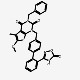 COc1sc2c(c1C)c(=O)n(Cc1ccccc1)c(=O)n2Cc1ccc(-c2ccccc2-c2noc(=O)[nH]2)cc1